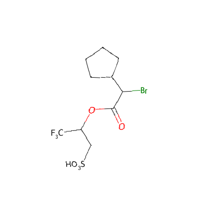 O=C(OC(CS(=O)(=O)O)C(F)(F)F)C(Br)C1CCCC1